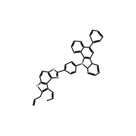 C=CCc1oc2ccc3oc(-c4ccc(N5c6c(cc(-c7ccccc7)c7ccccc67)C6C=CC=CC65)cc4)nc3c2c1/C=C\C